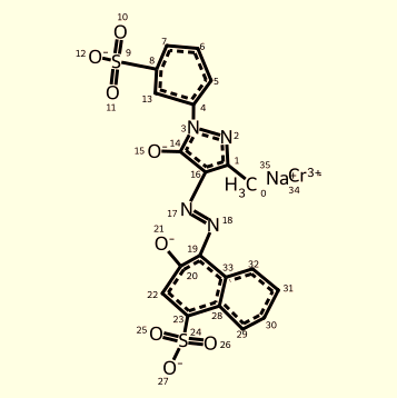 Cc1nn(-c2cccc(S(=O)(=O)[O-])c2)c([O-])c1N=Nc1c([O-])cc(S(=O)(=O)[O-])c2ccccc12.[Cr+3].[Na+]